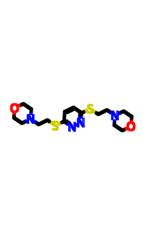 c1cc(SCCN2CCOCC2)nnc1SCCN1CCOCC1